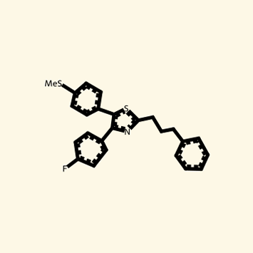 CSc1ccc(-c2sc(CCCc3ccccc3)nc2-c2ccc(F)cc2)cc1